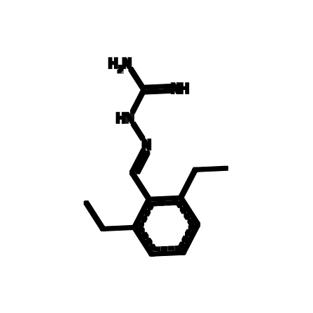 CCc1cccc(CC)c1/C=N/NC(=N)N